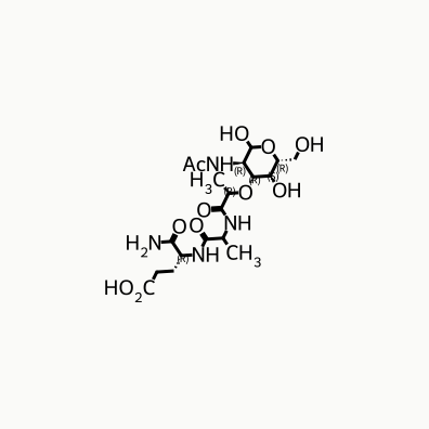 CC(=O)N[C@H]1C(O)O[C@H](CO)[C@@H](O)[C@@H]1O[C@H](C)C(=O)NC(C)C(=O)N[C@H](CCC(=O)O)C(N)=O